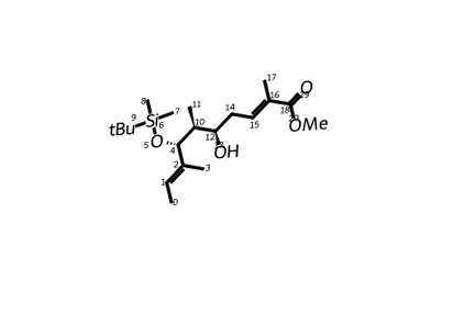 C/C=C(\C)[C@H](O[Si](C)(C)C(C)(C)C)[C@@H](C)[C@H](O)C/C=C(\C)C(=O)OC